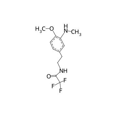 CNc1cc(CCNC(=O)C(F)(F)F)ccc1OC